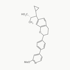 COc1cc(-c2ccc(C3CCc4ccc(C(C5CC5)[C@H](C)C(=O)O)cc4O3)cc2)ccn1